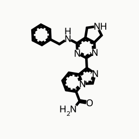 NC(=O)c1cccc2c(-c3nc4c(c(NCc5ccccc5)n3)CNC4)ncn12